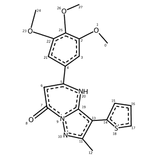 COc1cc(-c2cc(=O)n3nc(C)c(-c4cccs4)c3[nH]2)cc(OC)c1OC